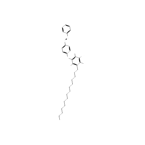 CCCCCCCCCCCCCCCc1c(O)c(Oc2ccc(N=Nc3ccccc3)cc2)c(Cl)c(O)c1Cl